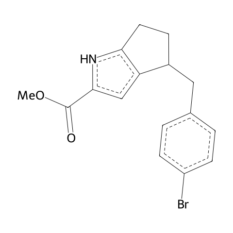 COC(=O)c1cc2c([nH]1)CCC2Cc1ccc(Br)cc1